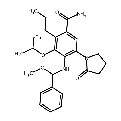 CCCc1c(C(N)=O)cc(N2CCCC2=O)c(NC(OC)c2ccccc2)c1OC(C)C